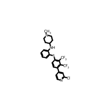 CN1CCC(Nc2ccccc2Sc2ccc(-c3ccnc(Cl)c3)c(C(F)(F)F)c2C(F)(F)F)CC1